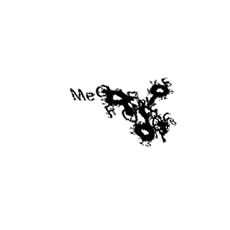 COc1cc(F)c(C(=O)N2N=C(c3ccc(F)cc3)SC2c2ccccc2OC(F)F)c(F)c1